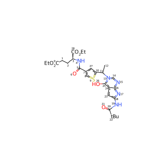 CCOC(=O)CC[C@H](NC(=O)c1csc(C(C)n2cnc3nc(NC(=O)C(C)(C)C)cc-3c2O)c1)C(=O)OCC